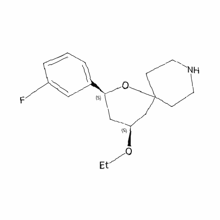 CCO[C@H]1C[C@@H](c2cccc(F)c2)OC2(CCNCC2)C1